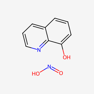 O=NO.Oc1cccc2cccnc12